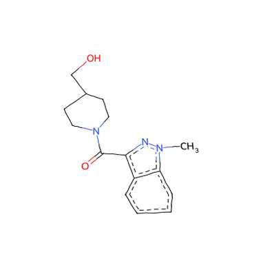 Cn1nc(C(=O)N2CCC(CO)CC2)c2ccccc21